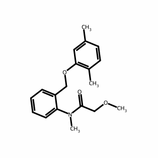 COCC(=O)N(C)c1ccccc1COc1cc(C)ccc1C